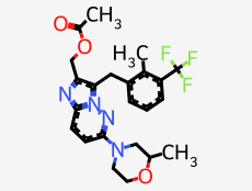 CC(=O)OCc1nc2ccc(N3CCOC(C)C3)nn2c1Cc1cccc(C(F)(F)F)c1C